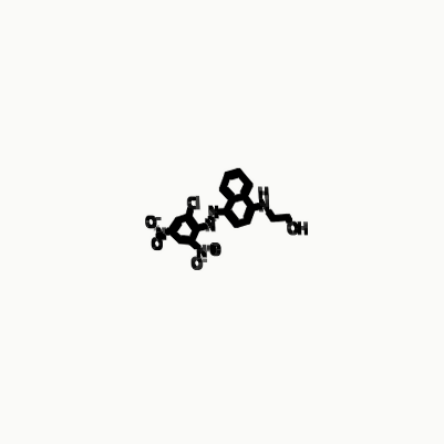 O=[N+]([O-])c1cc(Cl)c(N=Nc2ccc(NCCO)c3ccccc23)c([N+](=O)[O-])c1